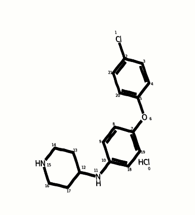 Cl.Clc1ccc(Oc2ccc(NC3CCNCC3)cc2)cc1